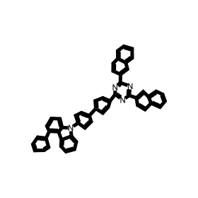 c1ccc(-c2cccc3c2c2ccccc2n3-c2ccc(-c3ccc(-c4nc(-c5ccc6ccccc6c5)nc(-c5ccc6ccccc6c5)n4)cc3)cc2)cc1